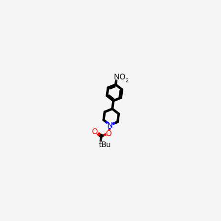 CC(C)(C)C(=O)ON1CCC(c2ccc([N+](=O)[O-])cc2)CC1